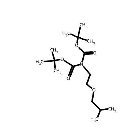 CC(C)COCCN(C(=O)OC(C)(C)C)C(=O)OC(C)(C)C